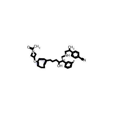 CC(=O)N1CC(OC2=C/CC/C=C(CCCC(O)[C@@H](CNCC(C)c3ccc(C#N)cc3)c3cccc(F)c3)/C=C\2)C1